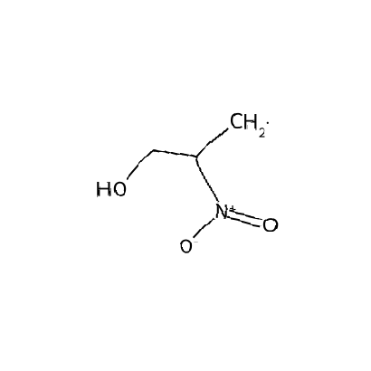 [CH2]C(CO)[N+](=O)[O-]